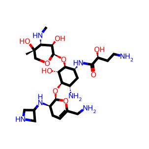 CN[C@@H]1[C@@H](O)[C@@H](O[C@@H]2[C@@H](O)[C@H](O[C@H]3OC(CN)=CC[C@H]3NC3CNC3)[C@@H](N)C[C@H]2NC(=O)[C@@H](O)CCN)OC[C@]1(C)O